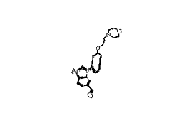 O=Cc1ccc2ncn(-c3cccc(OCCN4CCOCC4)c3)c2c1